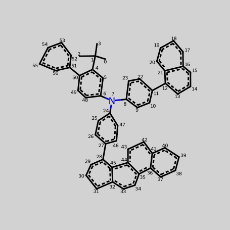 CC(C)(C)c1cc(N(c2ccc(-c3cccc4ccccc34)cc2)c2ccc(-c3cccc4ccc5c6ccccc6ccc5c34)cc2)ccc1-c1ccccc1